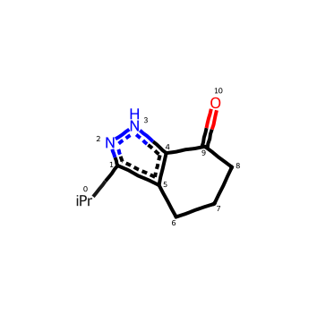 CC(C)c1n[nH]c2c1CCCC2=O